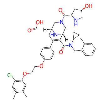 Cc1cc(Cl)c(OCCOc2ccc(C3=C(C(=O)N(Cc4ccccc4C)C4CC4)[C@H]4CN(C(=O)[C@@H]5C[C@@H](O)CN5)C[C@@H](C3)N4)cc2)cc1C.O=CO